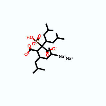 CC(C)CC(CC(C)C)C(C(=O)[O-])C(C(=O)[O-])(C(CC(C)C)CC(C)C)S(=O)(=O)O.[Na+].[Na+]